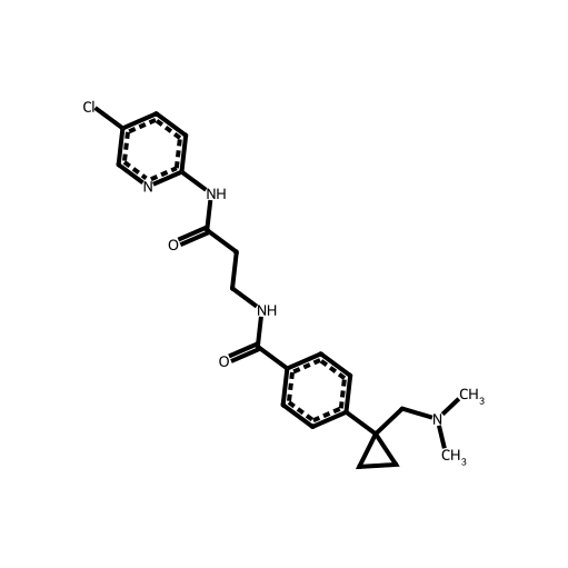 CN(C)CC1(c2ccc(C(=O)NCCC(=O)Nc3ccc(Cl)cn3)cc2)CC1